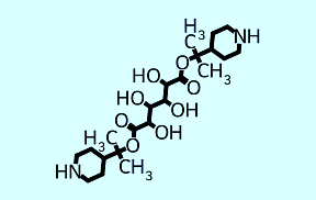 CC(C)(OC(=O)C(O)C(O)C(O)C(O)C(=O)OC(C)(C)C1CCNCC1)C1CCNCC1